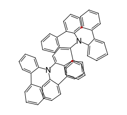 c1ccc(-c2ccccc2N(c2ccccc2-c2ccccc2)c2ccc(N(c3ccccc3-c3ccccc3)c3ccccc3-c3ccccc3)c3ccccc23)cc1